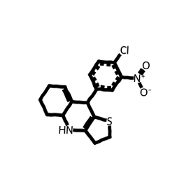 O=[N+]([O-])c1cc(C2C3=CCCCC3NC3=C2SCC3)ccc1Cl